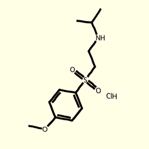 COc1ccc(S(=O)(=O)CCNC(C)C)cc1.Cl